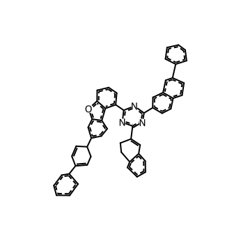 C1=CC(c2ccc3c(c2)oc2cccc(-c4nc(C5=Cc6ccccc6CC5)nc(-c5ccc6ccc(-c7ccccc7)cc6c5)n4)c23)CC=C1c1ccccc1